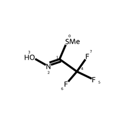 CS/C(=N\O)C(F)(F)F